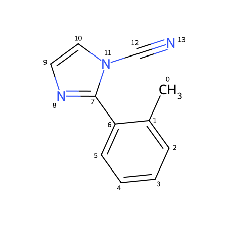 Cc1ccccc1-c1nccn1C#N